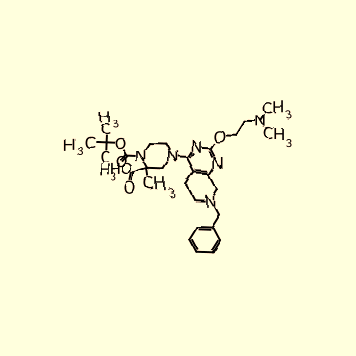 CN(C)CCOc1nc2c(c(N3CCN(C(=O)OC(C)(C)C)C(C)(C(=O)O)C3)n1)CCN(Cc1ccccc1)C2